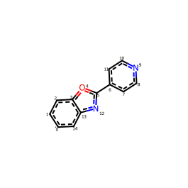 [c]1ccc2oc(-c3ccncc3)nc2c1